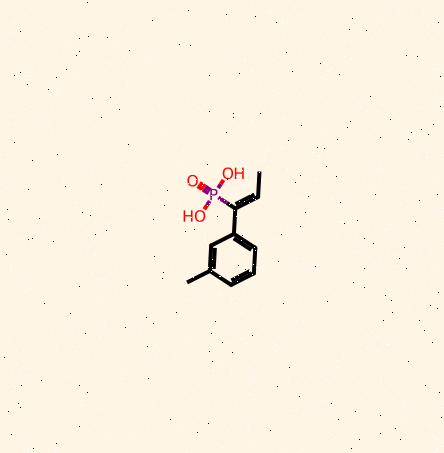 CC=C(c1cccc(C)c1)P(=O)(O)O